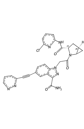 NC(=O)c1nn(CC(=O)N2C3C[C@@H]3C[C@H]2C(=O)Nc2cccc(Cl)n2)c2ccc(C#Cc3cccnn3)cc12